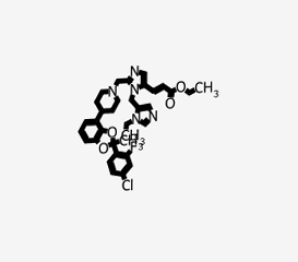 CCOC(=O)C=Cc1cnc(CN2CCC(c3cccc4c3OC(C)(c3ccc(Cl)cc3F)O4)CC2)n1Cc1cncn1CC